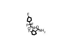 NC(=O)c1cccc(F)c1NC(=O)C(F)(F)c1ccc(F)cc1